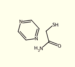 NC(=O)CS.c1cnccn1